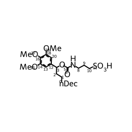 CCCCCCCCCCCCC(OC(=O)NCCCS(=O)(=O)O)c1cc(OC)c(OC)c(OC)c1